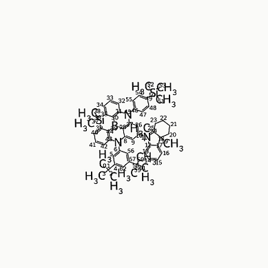 CC(C)(C)c1cc(N2c3cc(N4c5ccccc5C5(C)CCCCC45C)cc4c3B3c5c(cccc5[Si](C)(C)c5cccc2c53)N4c2ccc([Si](C)(C)C)cc2)cc(C(C)(C)C)c1